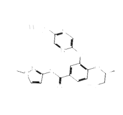 C[C@H](O)[C@H](C)Oc1ccc(C(=O)Nc2ccn(C)n2)cc1Oc1cnc(C(=O)O)cn1